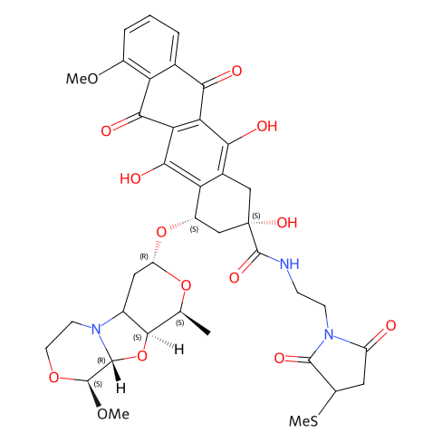 COc1cccc2c1C(=O)c1c(O)c3c(c(O)c1C2=O)C[C@@](O)(C(=O)NCCN1C(=O)CC(SC)C1=O)C[C@@H]3O[C@H]1CC2[C@H](O[C@@H]3[C@@H](OC)OCCN23)[C@H](C)O1